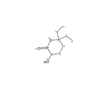 CCC1(CC)CCC(O)C(=O)O1